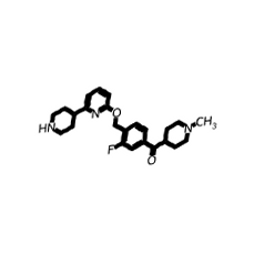 CN1CCC(C(=O)c2ccc(COc3cccc(C4CCNCC4)n3)c(F)c2)CC1